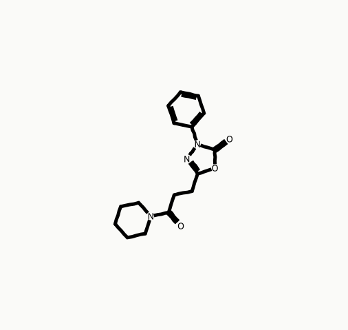 O=C(CCc1nn(-c2ccccc2)c(=O)o1)N1CCCCC1